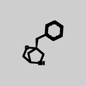 c1ccc(C[C@]23CNC(CO2)C3)cc1